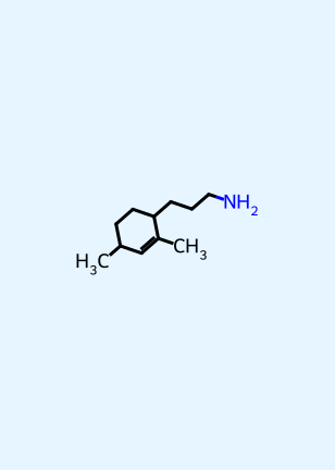 CC1=CC(C)CCC1CCCN